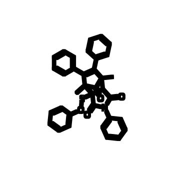 CC12C(=O)C(C)(C(c3ccccc3)=C1c1ccccc1)C1(SOc3ccccc3)C(=O)N(c3ccccc3)C(=O)C21